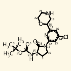 CC(C)(C)OC(=O)N[C@@H]1CCN(c2cc(Cl)cc(C3CNCCO3)n2)C1=O